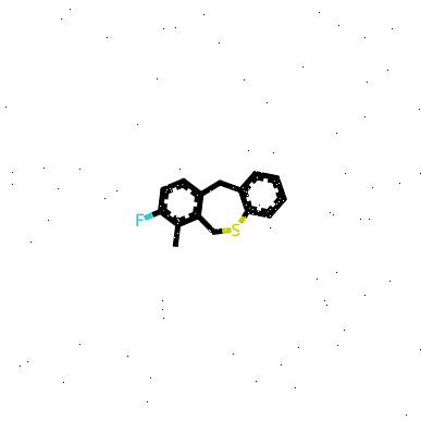 Cc1c(F)ccc2c1CSc1ccccc1C2